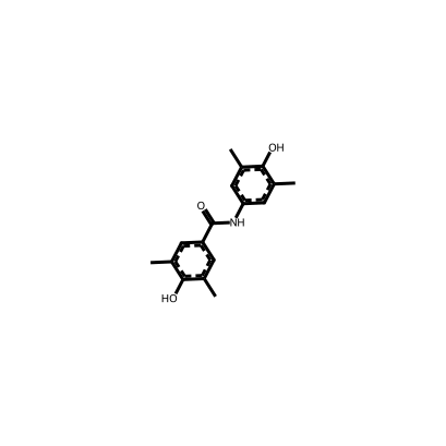 Cc1cc(NC(=O)c2cc(C)c(O)c(C)c2)cc(C)c1O